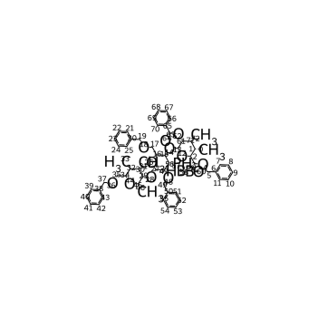 C[C@@H]1C(COCc2ccccc2)O[C@@H](O[C@@H]2C(COCc3ccccc3)O[C@H](OC3[C@@H](C)[C@H](C)C(COCc4ccccc4)O[C@@H]3C)C(OCc3ccccc3)[C@H]2PBB=O)C(OC(=O)c2ccccc2)[C@H]1C